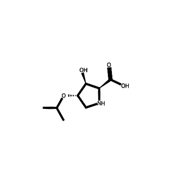 CC(C)O[C@H]1CN[C@H](C(=O)O)[C@@H]1O